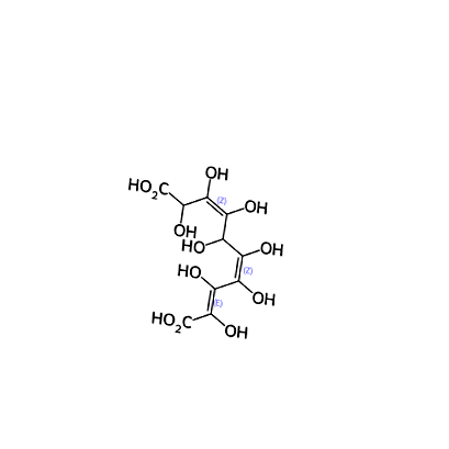 O=C(O)/C(O)=C(O)/C(O)=C(/O)C(O)/C(O)=C(/O)C(O)C(=O)O